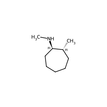 CN[C@@H]1CCCCC[C@H]1C